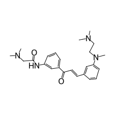 CN(C)CCN(C)c1cccc(/C=C/C(=O)c2cccc(NC(=O)CN(C)C)c2)c1